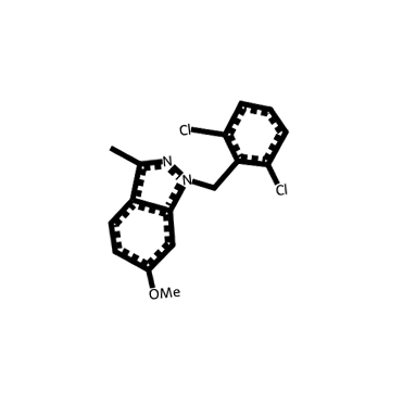 COc1ccc2c(C)nn(Cc3c(Cl)cccc3Cl)c2c1